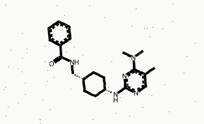 Cc1cnc(N[C@H]2CC[C@@H](CNC(=O)c3ccccc3)CC2)nc1N(C)C